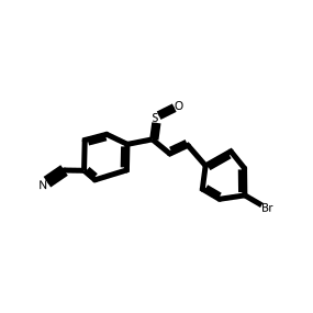 N#Cc1ccc(C(C=Cc2ccc(Br)cc2)=S=O)cc1